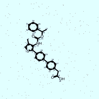 Cc1csc(-c2ccc(-c3ccc(CC(=O)O)cc3)cc2)c1NC(=O)OC(C)c1ccccc1